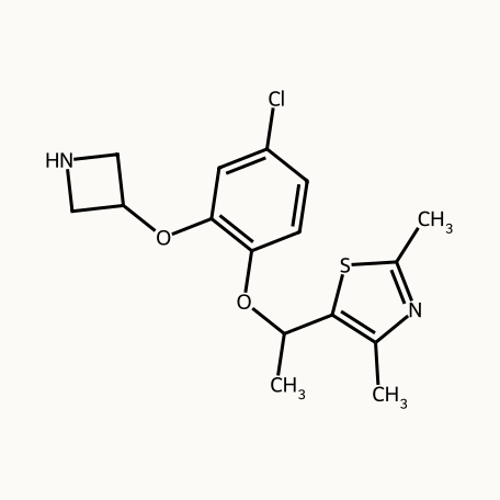 Cc1nc(C)c(C(C)Oc2ccc(Cl)cc2OC2CNC2)s1